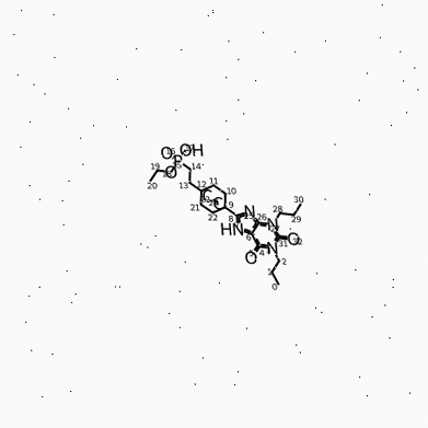 CCCn1c(=O)c2[nH]c(C34CCC(CCP(=O)(O)OCC)(CC3)CC4)nc2n(CCC)c1=O